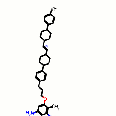 Cc1c(N)cc(N)cc1OCCCc1ccc(C2CCC(/C=C/C3CCC(c4ccc(C(C)C)cc4)CC3)CC2)cc1